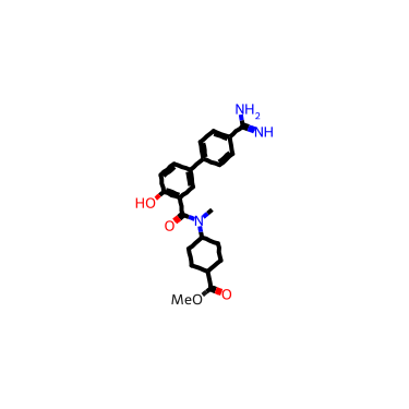 COC(=O)C1CCC(N(C)C(=O)c2cc(-c3ccc(C(=N)N)cc3)ccc2O)CC1